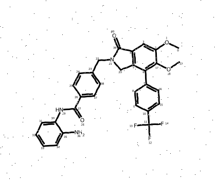 COc1cc2c(c(-c3ccc(C(F)(F)F)cc3)c1OC)CN(Cc1ccc(C(=O)Nc3ccccc3N)cc1)C2=O